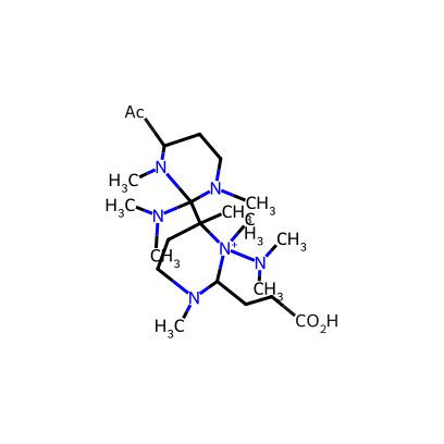 CC(=O)C1CCN(C)C(N(C)C)(C2(C)CCN(C)C(CCC(=O)O)[N+]2(C)N(C)C)N1C